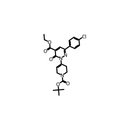 CCOC(=O)c1cc(-c2ccc(Cl)cc2)nn(C2=CCN(C(=O)OC(C)(C)C)CC2)c1=O